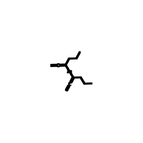 C=C=[C](CCC)[Zn][C](=C=C)CCC